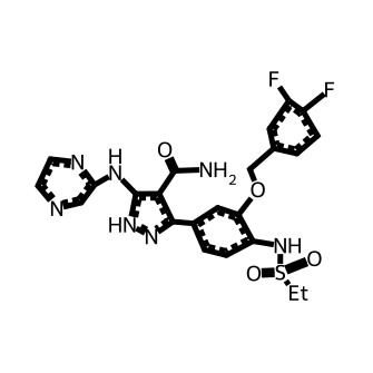 CCS(=O)(=O)Nc1ccc(-c2n[nH]c(Nc3cnccn3)c2C(N)=O)cc1OCc1ccc(F)c(F)c1